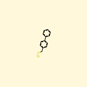 SSCc1ccc(-c2ccccc2)cc1